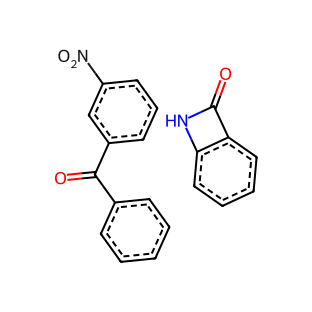 O=C(c1ccccc1)c1cccc([N+](=O)[O-])c1.O=C1Nc2ccccc21